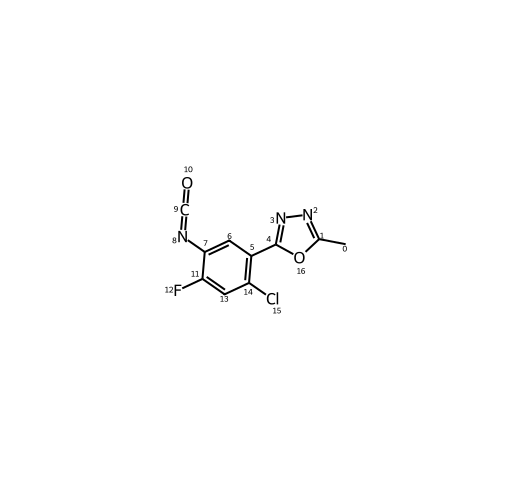 Cc1nnc(-c2cc(N=C=O)c(F)cc2Cl)o1